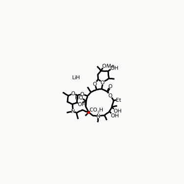 CCC1OC(=O)C(C)C(OC2CC(C)(OC)C(O)C(C)O2)C(C)C(OC2OC(C)CC(N(C)C(C)CCC(=O)O)C2O)C(C)(O)CC(C)CN(C)C(C)C(O)C1(C)O.[LiH]